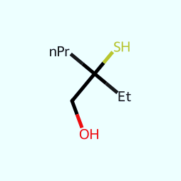 CCCC(S)(CC)CO